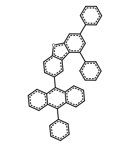 c1ccc(-c2cc(-c3ccccc3)c3c(c2)oc2ccc(-c4c5ccccc5c(-c5ccccc5)c5ccccc45)cc23)cc1